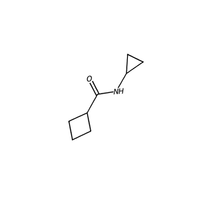 O=C(NC1CC1)C1CCC1